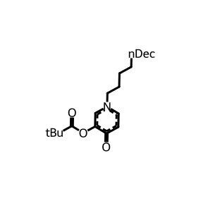 CCCCCCCCCCCCCCn1ccc(=O)c(OC(=O)C(C)(C)C)c1